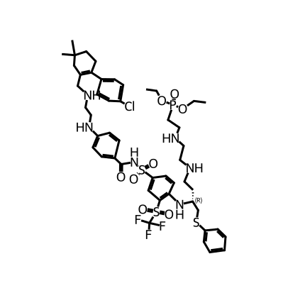 CCOP(=O)(CCNCCNCC[C@H](CSc1ccccc1)Nc1ccc(S(=O)(=O)NC(=O)c2ccc(NCCNCC3=C(c4ccc(Cl)cc4)CCC(C)(C)C3)cc2)cc1S(=O)(=O)C(F)(F)F)OCC